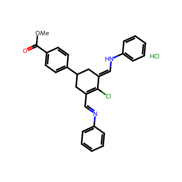 COC(=O)c1ccc(C2CC(/C=N/c3ccccc3)=C(Cl)C(=C/Nc3ccccc3)/C2)cc1.Cl